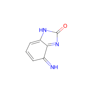 N=C1C=CC=C2NC(=O)N=C12